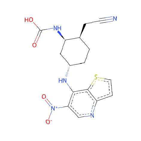 N#CC[C@H]1CC[C@H](Nc2c([N+](=O)[O-])cnc3ccsc23)C[C@H]1NC(=O)O